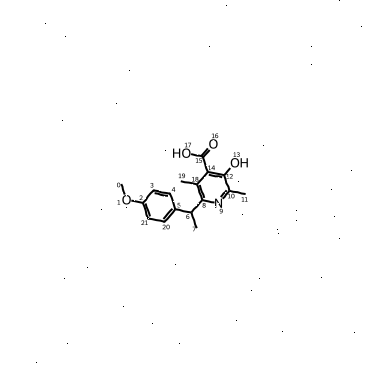 COc1ccc(C(C)c2nc(C)c(O)c(C(=O)O)c2C)cc1